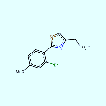 CCOC(=O)Cc1csc(-c2ccc(OC)cc2Br)n1